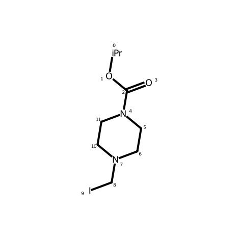 CC(C)OC(=O)N1CCN(CI)CC1